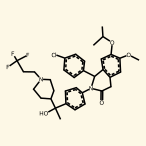 COc1cc2c(cc1OC(C)C)C(c1ccc(Cl)cc1)N(c1ccc(C(C)(O)C3CCN(CCC(F)(F)F)CC3)cc1)C(=O)C2